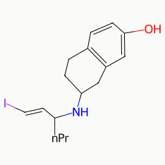 CCCC(C=CI)NC1CCc2ccc(O)cc2C1